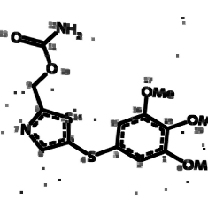 COc1cc(Sc2cnc(COC(N)=O)s2)cc(OC)c1OC